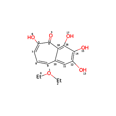 CCOCC.O=c1c(O)cccc2cc(O)c(O)c(O)c12